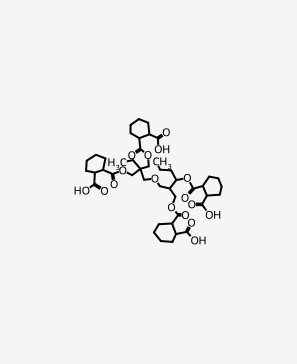 CCCC(OC(=O)C1CCCCC1C(=O)O)C(COCC(CC)(COC(=O)C1CCCCC1C(=O)O)COC(=O)C1CCCCC1C(=O)O)COC(=O)C1CCCCC1C(=O)O